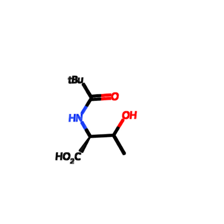 CC(O)[C@H](NC(=O)C(C)(C)C)C(=O)O